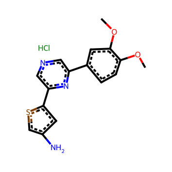 COc1ccc(-c2cncc(-c3cc(N)cs3)n2)cc1OC.Cl